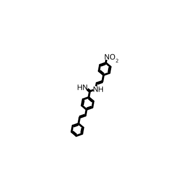 N=C(N/C=C/c1ccc([N+](=O)[O-])cc1)c1ccc(/C=C/c2ccccc2)cc1